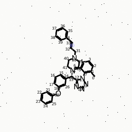 Cc1cccc(C)c1-n1nnnc1[C@H](c1cccc(Oc2ccccc2)c1)N1CCN(C/C=C/c2ccccc2)CC1